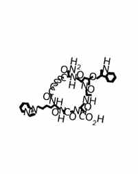 CC1NC(=O)C(CC(=O)O)NC(=O)CNC(=O)C(CCCCn2cc[n+]3ccccc23)NC(=O)CCSSCC(C(N)=O)NC(=O)C2CC(OCc3c[nH]c4ccccc34)CN2C1=O